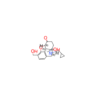 O=C1CC[C@@]2(O)[C@H]3Cc4ccc(CO)c5c4[C@@]2(CCN3CC2CC2)[C@H]1O5